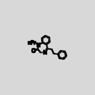 CCCN1C(=O)CN=C(CCc2ccccc2)c2ccccc21